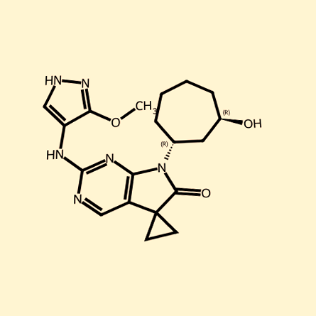 COc1n[nH]cc1Nc1ncc2c(n1)N([C@@H]1CCCC[C@@H](O)C1)C(=O)C21CC1